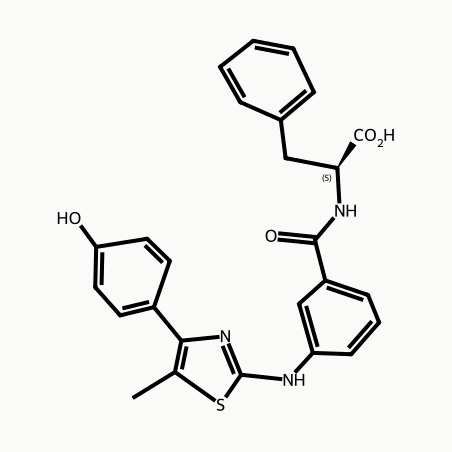 Cc1sc(Nc2cccc(C(=O)N[C@@H](Cc3ccccc3)C(=O)O)c2)nc1-c1ccc(O)cc1